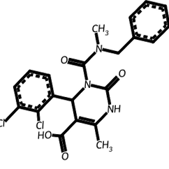 CC1=C(C(=O)O)C(c2cccc(Cl)c2Cl)N(C(=O)N(C)Cc2ccccc2)C(=O)N1